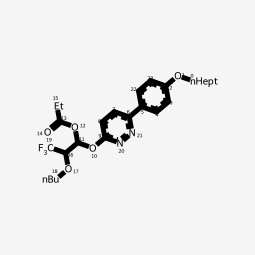 CCCCCCCOc1ccc(-c2ccc(OC(OC(=O)CC)C(OCCCC)C(F)(F)F)nn2)cc1